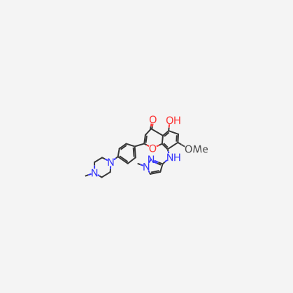 COc1cc(O)c2c(=O)cc(-c3ccc(N4CCN(C)CC4)cc3)oc2c1Nc1ccn(C)n1